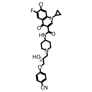 N#Cc1ccc(OC[C@H](O)CN2CCC(NC(=O)c3cn(C4CC4)c4cc(Cl)c(F)cc4c3=O)CC2)cc1